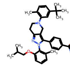 Cc1ccc(C(C)(C)C)cc1N1CCc2nn(-c3c(C)cccc3OCC(C)C)c(-c3ccc(C(N)=O)cc3)c2C1